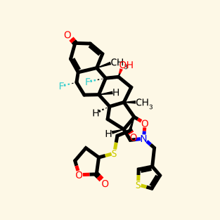 C[C@]12C=CC(=O)C=C1[C@@H](F)C[C@H]1[C@@H]3C[C@H]4CN(Cc5ccsc5)O[C@@]4(C(=O)CSC4CCOC4=O)[C@@]3(C)C[C@H](O)[C@@]12F